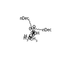 CCCCCCCCCCCCCCCCCC(=O)C(COP(=O)(O)OCC[N+](C)(C)C)C(=O)CCCCCCCCCCCCCCCCC